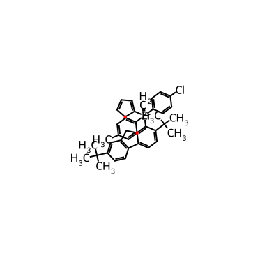 [CH2]=[Zr]([C]1=CC=CC1)([c]1ccc(C)cc1)([c]1ccc(Cl)cc1)[c]1c(C(C)(C)C)ccc2c1Cc1cc(C(C)(C)C)ccc1-2